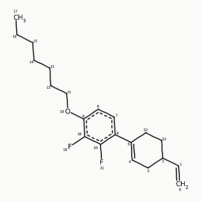 C=CC1CC=C(c2ccc(OCCCCCCC)c(F)c2F)CC1